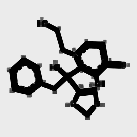 O=c1ccn(CCO)c(C(O)(Cc2ccccc2)C2=COCO2)c1O